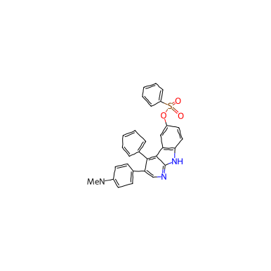 CNc1ccc(-c2cnc3[nH]c4ccc(OS(=O)(=O)c5ccccc5)cc4c3c2-c2ccccc2)cc1